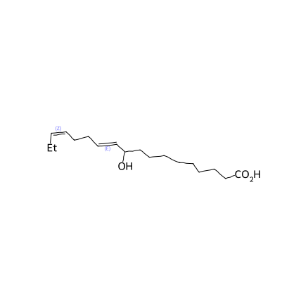 CC/C=C\CC/C=C/C(O)CCCCCCCCC(=O)O